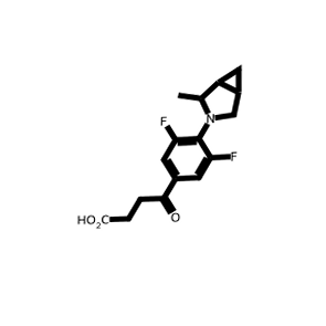 CC1C2CC2CN1c1c(F)cc(C(=O)CCC(=O)O)cc1F